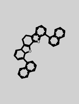 C1=CC2C3=C(OC2C(c2cccc4ccccc24)=C1)c1oc2c(-c4cccc5ccccc45)cccc2c1CC3